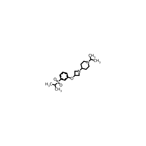 CC(C)N1CCC(N2CC(Oc3cccc(S(=O)(=O)C(C)C)c3)C2)CC1